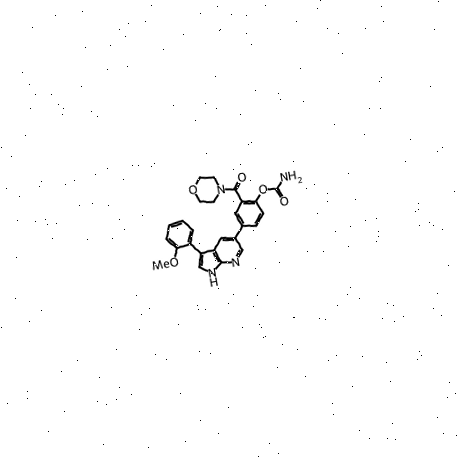 COc1ccccc1-c1c[nH]c2ncc(-c3ccc(OC(N)=O)c(C(=O)N4CCOCC4)c3)cc12